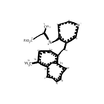 CCOC(=O)C(C)Sc1ccncc1Cc1ccc(C)c2ccccc12